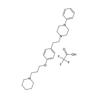 O=C(O)C(F)(F)F.c1ccc(N2CCN(CCc3ccc(OCCCN4CCCCC4)cc3)CC2)cc1